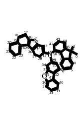 CC1(C)c2ccccc2-c2c(N(C3=Cc4sc5ccc6ccccc6c5c4CC3)c3ccc4c(c3)oc3ccccc34)cccc21